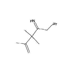 C=C(C)C(C)(C)C(=N)CC(C)C